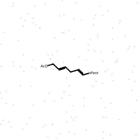 CCCCCC=CCC=CCOC(C)=O